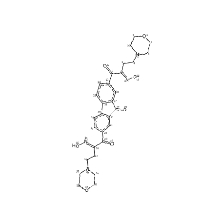 O=C(C(CCN1CCOCC1)=NO)c1ccc2c(c1)C(=O)c1cc(C(=O)C(CCN3CCOCC3)=NO)ccc1-2